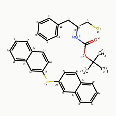 CC(C)(C)OC(=O)N[C@@H](CS)Cc1ccccc1.c1ccc2cc(Sc3ccc4ccccc4c3)ccc2c1